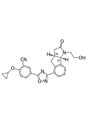 N#Cc1cc(-c2nc(-c3cccc4c3C[C@@H]3CC(=O)N(CCO)[C@H]43)no2)ccc1OC1CC1